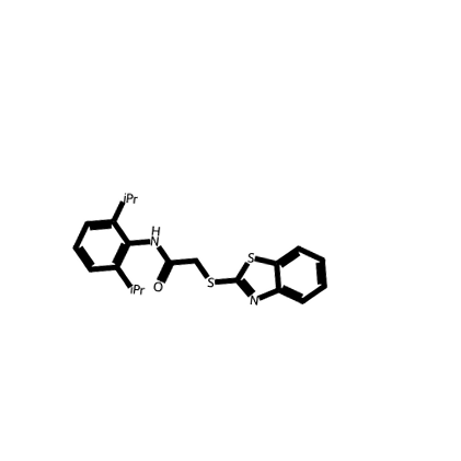 CC(C)c1cccc(C(C)C)c1NC(=O)CSc1nc2ccccc2s1